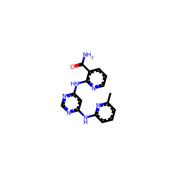 Cc1cccc(Nc2cc(Nc3ncccc3C(N)=O)ncn2)n1